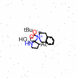 CC(=O)C1CCN[C@@]1(C(=O)O)[N+]1(C(=O)OC(C)(C)C)Cc2ccccc2C[C@H]1C